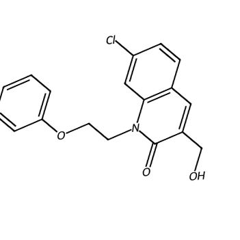 O=c1c(CO)cc2ccc(Cl)cc2n1CCOc1ccccc1